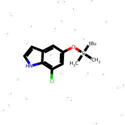 CC(C)(C)[Si](C)(C)Oc1cc(Cl)c2[nH]ccc2c1